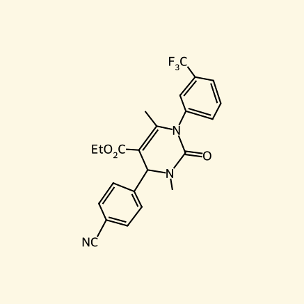 CCOC(=O)C1=C(C)N(c2cccc(C(F)(F)F)c2)C(=O)N(C)C1c1ccc(C#N)cc1